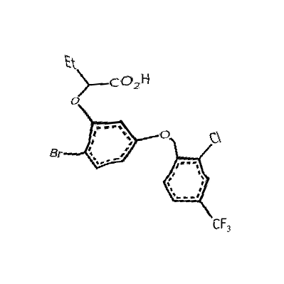 CCC(Oc1cc(Oc2ccc(C(F)(F)F)cc2Cl)ccc1Br)C(=O)O